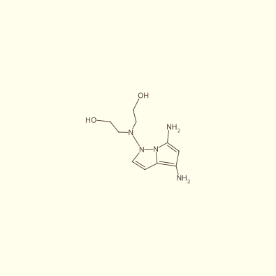 Nc1cc(N)n2c1ccn2N(CCO)CCO